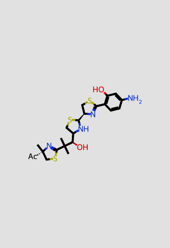 CC(=O)[C@@]1(C)CSC(C(C)(C)[C@H](O)C2CSC([C@H]3CSC(c4ccc(N)cc4O)=N3)N2)=N1